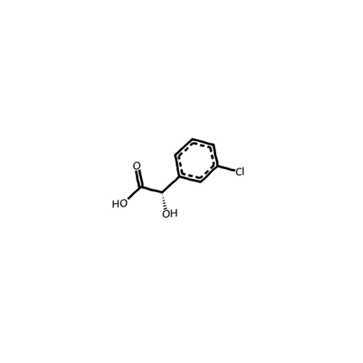 O=C(O)[C@@H](O)c1cccc(Cl)c1